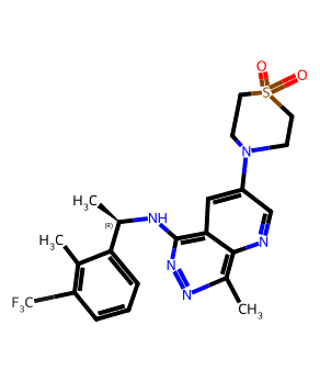 Cc1c([C@@H](C)Nc2nnc(C)c3ncc(N4CCS(=O)(=O)CC4)cc23)cccc1C(F)(F)F